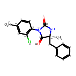 C[C@@]1(Cc2ccccc2)NC(=O)N(c2ccc([N+](=O)[O-])cc2Cl)C1=O